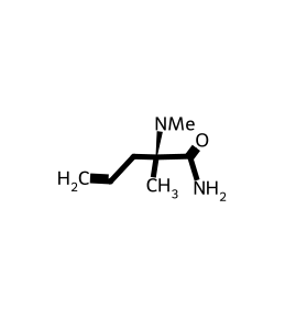 C=CC[C@](C)(NC)C(N)=O